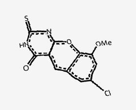 COc1cc(Cl)cc2cc3c(=O)[nH]c(=S)nc-3oc12